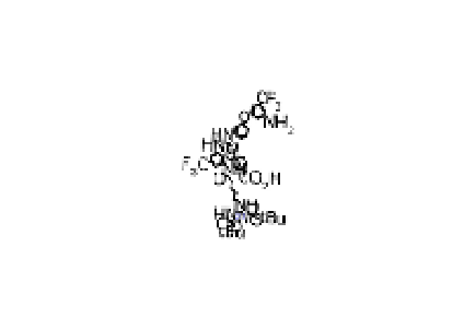 CC(C)(C)OC(=O)/N=C(\NCCCCC(=O)Nc1cc(C(F)(F)F)cc(NC(=O)Nc2cccc(Oc3cc(N)cc(C(F)(F)F)c3)c2)c1O[C@@H]1CCN(C(=O)O)C1)NC(=O)OC(C)(C)C